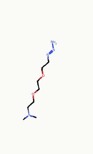 CN(C)CCOCCOCCN=NN